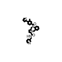 Cc1cc(C(=O)N2Cc3ccc(C(=O)NCc4cccnc4)n3Cc3ccccc32)ccc1-c1cccs1